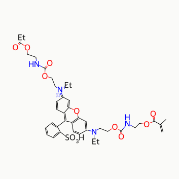 C=C(C)C(=O)OCCNC(=O)OCCN(CC)c1ccc2c(-c3ccccc3S(=O)(=O)O)c3cc/c(=[N+](/CC)CCOC(=O)NCCOC(=O)CC)cc-3oc2c1